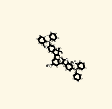 CC(C)(C)c1cc2c3c(n4c5oc6cc(N(c7ccccc7)c7ccccc7C(C)(C)C)ccc6c5c(c1)c24)C(C)(C)c1cc(N(c2ccccc2)c2ccccc2C(C)(C)C)ccc1-3